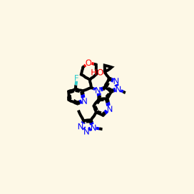 Cc1nnn(C)c1-c1cnc2c3c(c(C4(O)CC4)nn3C)n(C(c3ncccc3F)C3CCOCC3)c2c1